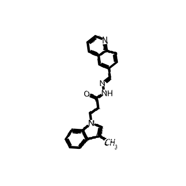 Cc1cn(CCC(=O)NN=Cc2ccc3ncccc3c2)c2ccccc12